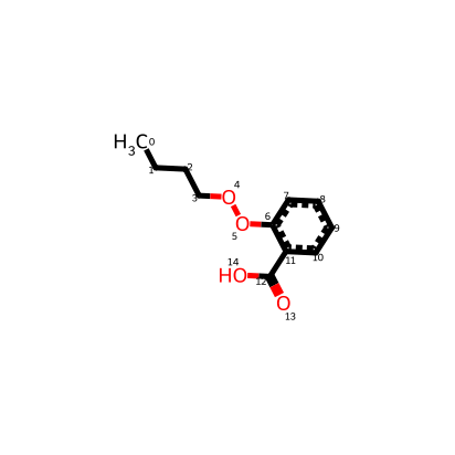 CCCCOOc1ccccc1C(=O)O